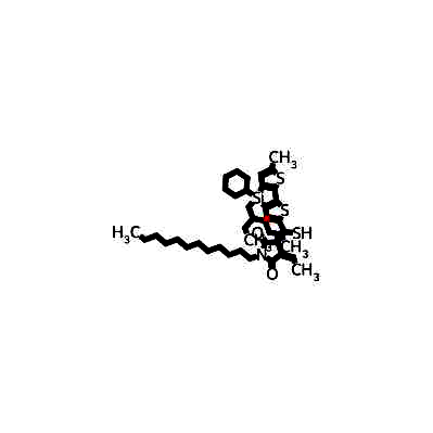 CC=C1C(=O)N(CCCCCCCCCCCC)C(=O)/C1=C(/S)c1cc2c(s1)-c1sc(C)cc1[Si]2(CC(CC)CCCC)C1CCCCC1